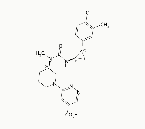 Cc1cc([C@@H]2C[C@H]2NC(=O)N(C)[C@@H]2CCCN(c3cc(C(=O)O)cnn3)C2)ccc1Cl